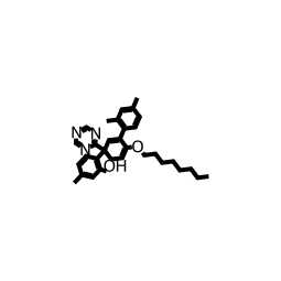 CCCCCCCCOC1=CC(O)C(c2ncncn2)(c2ccc(C)cc2C)C=C1c1ccc(C)cc1C